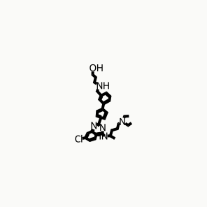 CCN(CC)CCCC(C)Nc1nc(-c2ccc(-c3cccc(CNCCCO)c3)cc2)nc2cc(Cl)ccc12